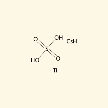 O=S(=O)(O)O.[CsH].[Ti]